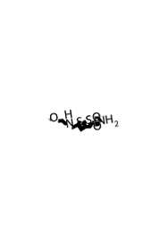 COCCCNCc1cc2cc(S(N)(=O)=O)sc2s1